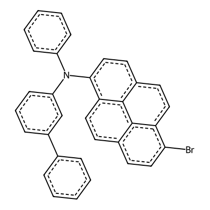 Brc1ccc2ccc3c(N(c4ccccc4)c4cccc(-c5ccccc5)c4)ccc4ccc1c2c43